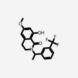 COc1cc(O)c2c(c1)CCN(C(C)c1cccc(C(F)(F)F)c1)C2=O